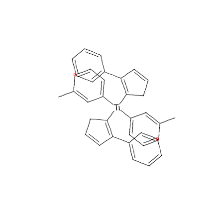 Cc1ccc[c]([Ti]([C]2=C(c3ccccc3)C=CC2)([C]2=C(c3ccccc3)C=CC2)[c]2cccc(C)c2)c1